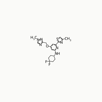 Cc1csc(-c2cc(OCc3ncn(C)n3)cc(NC3CCC(F)(F)CC3)n2)n1